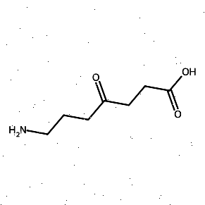 NCCCC(=O)CCC(=O)O